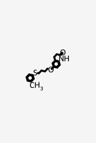 Cc1cccc(SCCCCOc2ccc3c(c2)CCC(=O)N3)c1